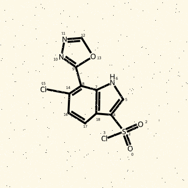 O=S(=O)(Cl)c1c[nH]c2c(-c3nnco3)c(Cl)ccc12